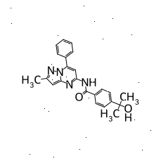 Cc1cc2nc(NC(=O)c3ccc(C(C)(C)O)cc3)cc(-c3ccccc3)n2n1